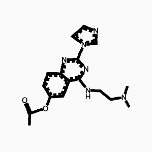 CC(=O)Oc1ccc2nc(-n3ccnc3)nc(NCCN(C)C)c2c1